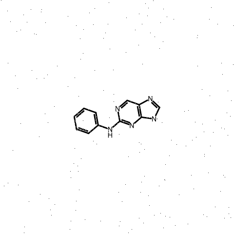 C1=Nc2cnc(Nc3ccccc3)nc2[N]1